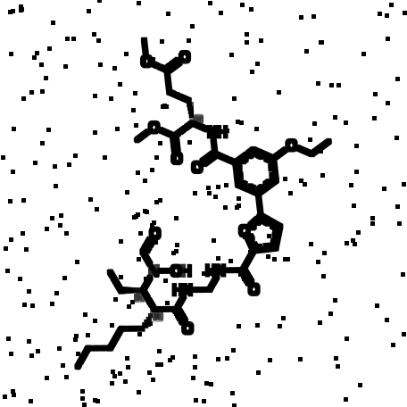 CCCCC[C@@H](C(=O)NCNC(=O)c1ccc(-c2cc(OCC)cc(C(=O)N[C@@H](CCC(=O)OC)C(=O)OC)c2)o1)[C@@H](CC)N(O)C=O